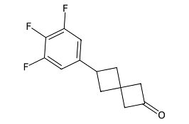 O=C1CC2(C1)CC(c1cc(F)c(F)c(F)c1)C2